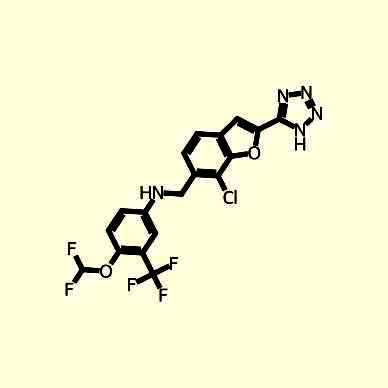 FC(F)Oc1ccc(NCc2ccc3cc(-c4nnn[nH]4)oc3c2Cl)cc1C(F)(F)F